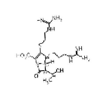 C[C@@H](O)[C@H]1C(=O)N2C(C(=O)O)=C(SCCNC(=N)N)[C@H](CCCNC(=N)N)[C@H]12